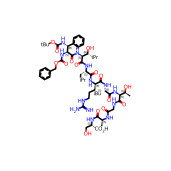 CC[C@H](C)[C@H](NC(=O)[C@@H](CCCNC(=N)N)NC(=O)[C@H](CC(C)C)NC(=O)[C@@H](NC(=O)[C@@H](NC(=O)OCc1ccccc1)[C@H](NC(=O)OC(C)(C)C)c1ccccc1)[C@H](O)C(C)C)C(=O)N[C@H](C(=O)NCC(=O)N[C@@H](C)C(=O)N[C@@H](CO)C(=O)O)[C@H](C)O